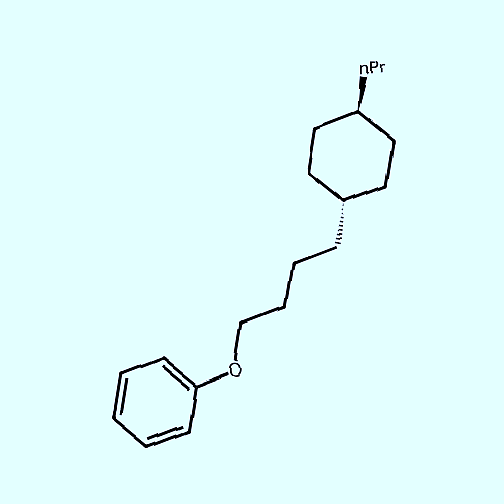 CCC[C@H]1CC[C@H](CCCCOc2ccccc2)CC1